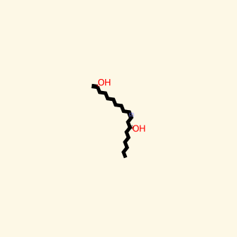 C=C(O)CCCCCCC/C=C\C[C@H](O)CCCCCC